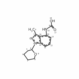 Cc1nn(C2CCCCO2)c2cccc(NC(=O)O)c12